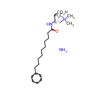 C[N+](C)(C)C[C@@H](CC(=O)O)NC(=O)CCCCCCCCCc1ccccc1.N